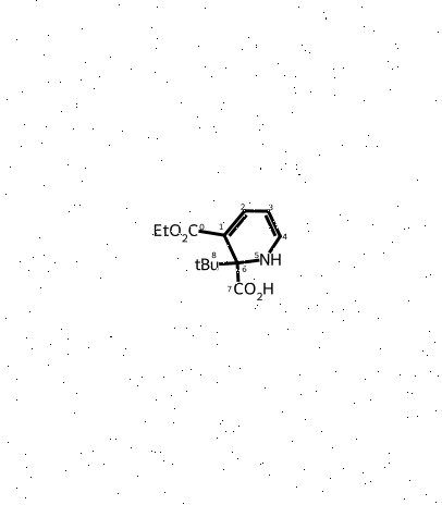 CCOC(=O)C1=CC=CNC1(C(=O)O)C(C)(C)C